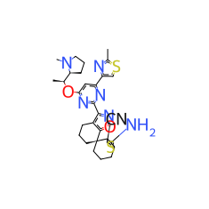 Cc1nc(-c2cc(O[C@@H](C)[C@@H]3CCCN3C)nc(-c3noc4c3CCC[C@@]43CCCc4sc(N)c(C#N)c43)n2)cs1